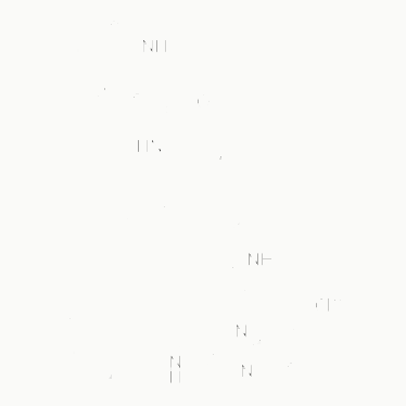 O=C(Nc1ccc2cc1CCc1cccc(c1)Nc1ncc(Cl)c(n1)N2)[C@@H]1CCCN1